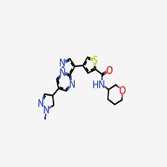 CN1CC(c2cnc3c(-c4csc(C(=O)NC5CCCOC5)c4)cnn3c2)C=N1